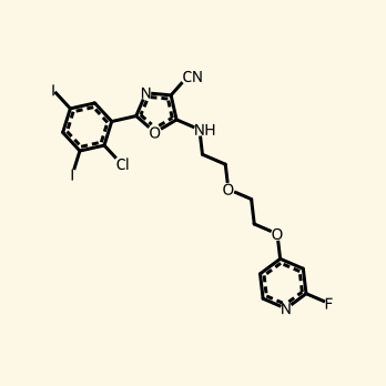 N#Cc1nc(-c2cc(I)cc(I)c2Cl)oc1NCCOCCOc1ccnc(F)c1